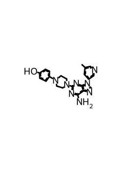 Cc1cncc(-n2cnc3c(N)nc(N4CCN(c5ccc(O)cc5)CC4)nc32)c1